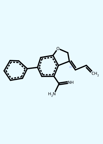 C=C/C=C1\COc2cc(-c3ccccc3)cc(C(=N)N)c21